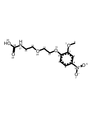 COc1cc([N+](=O)[O-])ccc1OCCOCCNC(=O)O